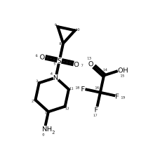 NC1CCN(S(=O)(=O)C2CC2)CC1.O=C(O)C(F)(F)F